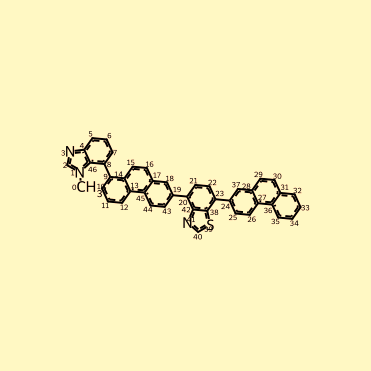 Cn1cnc2cccc(-c3cccc4c3ccc3cc(-c5ccc(-c6ccc7c(ccc8ccccc87)c6)c6scnc56)ccc34)c21